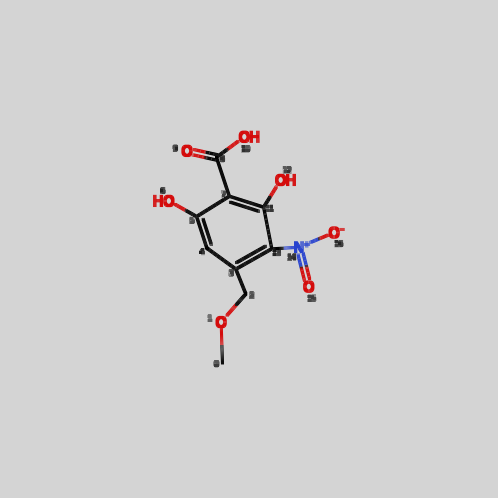 COCc1cc(O)c(C(=O)O)c(O)c1[N+](=O)[O-]